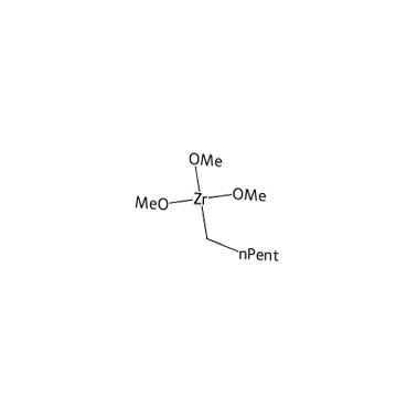 CCCCC[CH2][Zr]([O]C)([O]C)[O]C